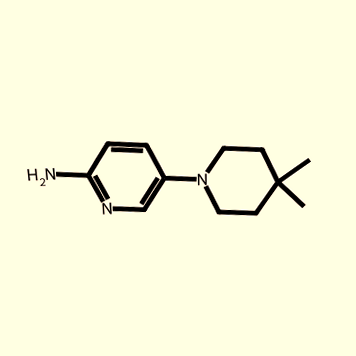 CC1(C)CCN(c2ccc(N)nc2)CC1